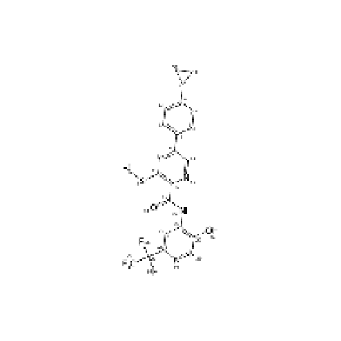 CCSc1cc(-c2ccc(C3CC3)cc2)cnc1C(=O)Nc1cc(C(F)(F)C(F)(F)F)nnc1O